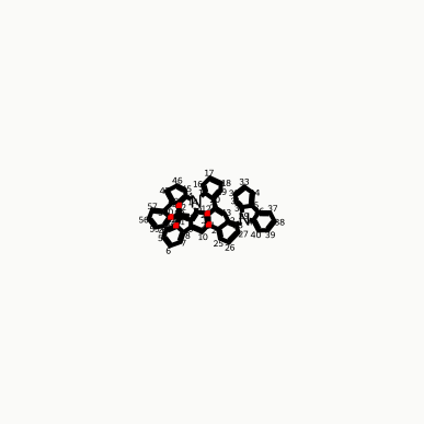 CC1(C)c2ccccc2-c2cccc(N(c3ccccc3-c3ccc4cccc(-n5c6ccccc6c6ccccc65)c4c3)c3cccc4c3C(C)(C)c3ccccc3-4)c21